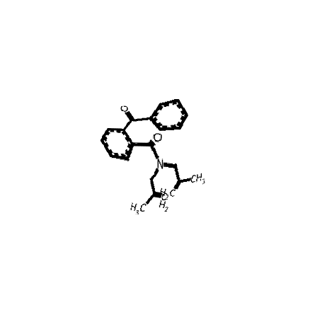 C=C(C)CN(CC(=C)C)C(=O)c1ccccc1C(=O)c1ccccc1